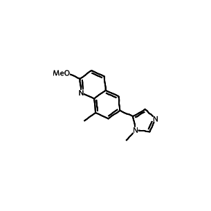 COc1ccc2cc(-c3cncn3C)cc(C)c2n1